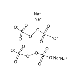 O=S(=O)([O-])OOS(=O)(=O)[O-].O=S(=O)([O-])OOS(=O)(=O)[O-].[Na+].[Na+].[Na+].[Na+]